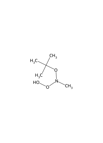 CN(OO)OC(C)(C)C